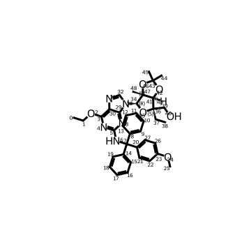 CCOc1nc(NC(c2ccccc2)(c2ccccc2)c2ccc(OC)cc2)nc2c1ncn2[C@@H]1O[C@@](CC)(CO)[C@H]2OC(C)(C)O[C@]21C